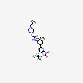 CCCN1CCN(CC(=O)NC2CC(c3ccc4c(n3)n(C)c(=O)n4CC(C)(C)C)CCC2(C)C)CC1